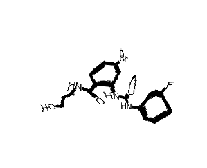 O=C(Nc1cccc(F)c1)Nc1cc(Br)ccc1C(=O)NCCCO